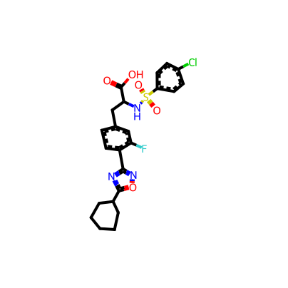 O=C(O)C(Cc1ccc(-c2noc(C3CCCCC3)n2)c(F)c1)NS(=O)(=O)c1ccc(Cl)cc1